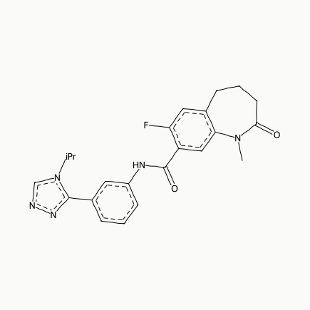 CC(C)n1cnnc1-c1cccc(NC(=O)c2cc3c(cc2F)CCCC(=O)N3C)c1